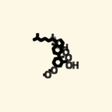 COCOC1CC[C@](C)(C2CC[C@]3(C)[C@@H]([C@H](C)CCCC(C)C)CC[C@H]3C2=O)C(C(=O)O)C1